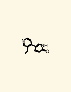 CCc1cnccc1-c1ccc(=O)[nH]c1